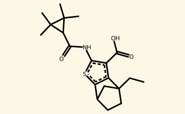 CCC12CCC(C1)c1sc(NC(=O)C3C(C)(C)C3(C)C)c(C(=O)O)c12